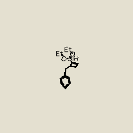 CCO[SiH](OCC)C1=CCC1Cc1ccccc1